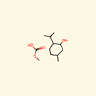 CC1CCC(C(C)C)C(O)C1.COC(=O)O